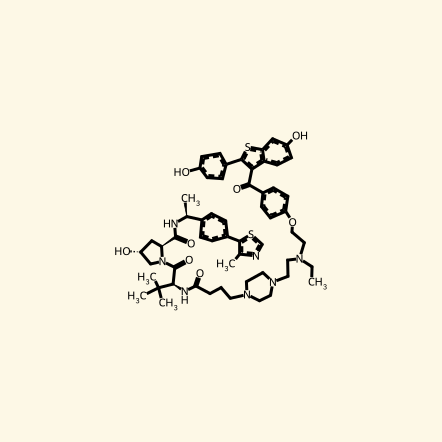 CCN(CCOc1ccc(C(=O)c2c(-c3ccc(O)cc3)sc3cc(O)ccc23)cc1)CCN1CCN(CCCC(=O)N[C@H](C(=O)N2C[C@H](O)C[C@H]2C(=O)N[C@@H](C)c2ccc(-c3scnc3C)cc2)C(C)(C)C)CC1